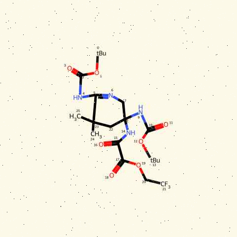 CC(C)(C)OC(=O)NC1=NCC(NC(=O)OC(C)(C)C)(NC(=O)C(=O)OCC(F)(F)F)CC1(C)C